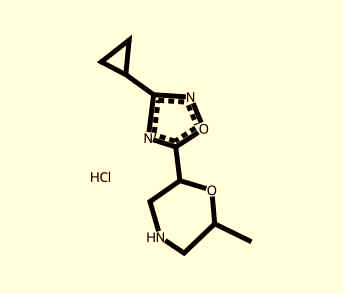 CC1CNCC(c2nc(C3CC3)no2)O1.Cl